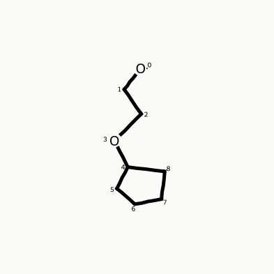 [O]CCOC1CCCC1